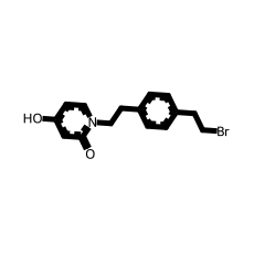 O=c1cc(O)ccn1CCc1ccc(CCBr)cc1